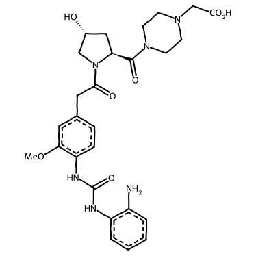 COc1cc(CC(=O)N2C[C@H](O)C[C@H]2C(=O)N2CCN(CC(=O)O)CC2)ccc1NC(=O)Nc1ccccc1N